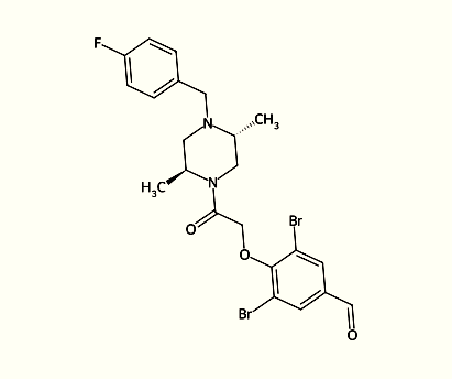 C[C@@H]1CN(C(=O)COc2c(Br)cc(C=O)cc2Br)[C@@H](C)CN1Cc1ccc(F)cc1